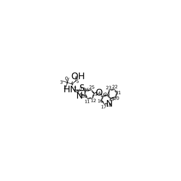 CC(C)(C)[C@@H](CO)Nc1nc2ccc(Oc3ccnc4ccccc34)cc2s1